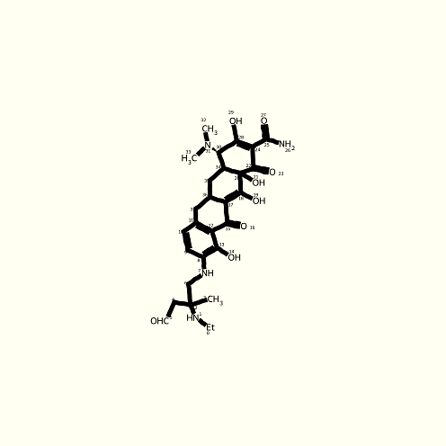 CCNC(C)(CC=O)CNc1ccc2c(c1O)C(=O)C1=C(O)C3(O)C(=O)C(C(N)=O)=C(O)[C@@H](N(C)C)C3CC1C2